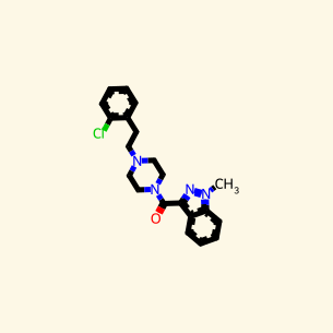 Cn1nc(C(=O)N2CCN(CCc3ccccc3Cl)CC2)c2ccccc21